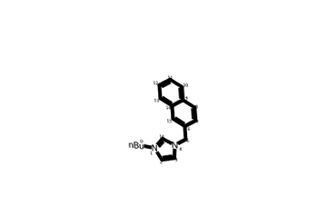 CCCC[n+]1ccn(Cc2ccc3ccccc3c2)c1